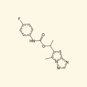 Cc1c(C(C)OC(=O)Nc2ccc(F)cc2)sc2ncnn12